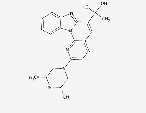 C[C@@H]1CN(c2cnc3cc(C(C)(C)O)c4nc5ccccc5n4c3n2)C[C@H](C)N1